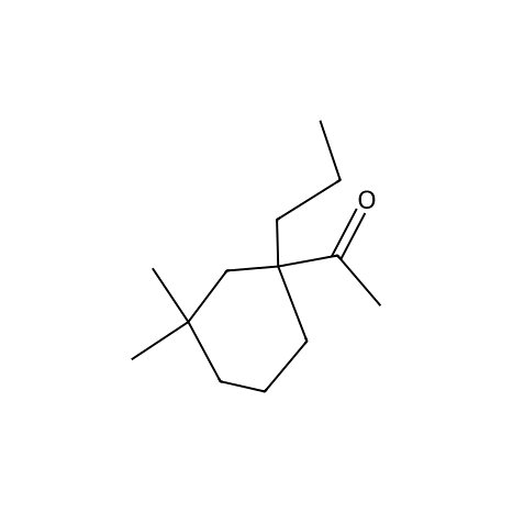 CCCC1(C(C)=O)CCCC(C)(C)C1